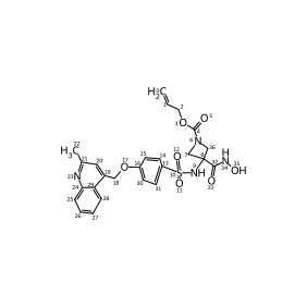 C=CCOC(=O)N1CC(NS(=O)(=O)c2ccc(OCc3cc(C)nc4ccccc34)cc2)(C(=O)NO)C1